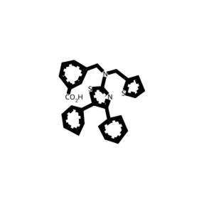 O=C(O)c1cccc(CN(Cc2cccs2)c2nc(-c3ccccc3)c(-c3ccccc3)s2)c1